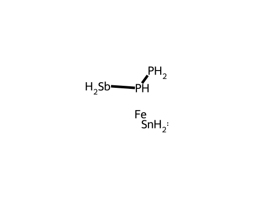 P[PH][SbH2].[Fe].[SnH2]